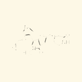 Cn1cc(-c2ccncc2OCC2CC2)c2oc(CN3CCNC(=O)C3)cc2c1=O